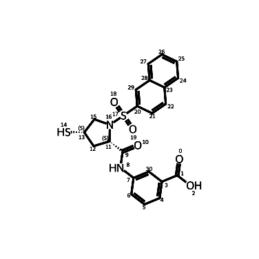 O=C(O)c1cccc(NC(=O)[C@@H]2C[C@H](S)CN2S(=O)(=O)c2ccc3ccccc3c2)c1